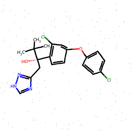 CC(C)(C)[C@](O)(Cc1nc[nH]n1)c1ccc(Oc2ccc(Cl)cc2)cc1Cl